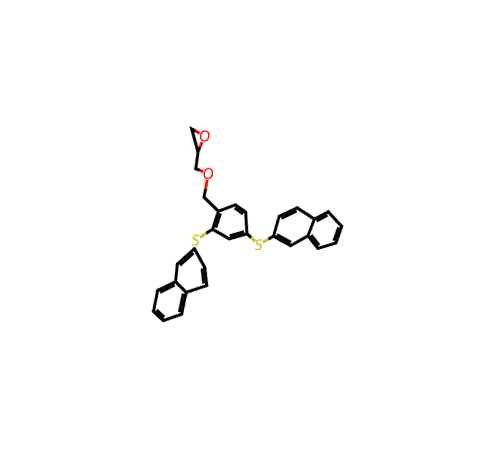 c1ccc2cc(Sc3ccc(COCC4CO4)c(Sc4ccc5ccccc5c4)c3)ccc2c1